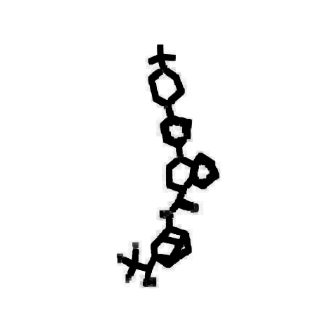 CC(C)(C)N1CCN(c2ccc(N3CCN(C(=O)NC4C5CC6CC4CC(C(O)C(F)(F)F)(C6)C5)c4ccccc43)nc2)CC1